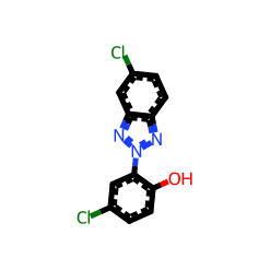 Oc1ccc(Cl)cc1-n1nc2ccc(Cl)cc2n1